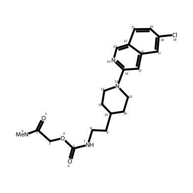 CNC(=O)COC(=O)NCCC1CCN(c2cc3cc(Cl)ccc3cn2)CC1